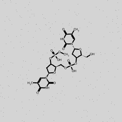 COP(=O)(O)OC1C[C@H](n2cc(C)c(=O)[nH]c2=O)O[C@@H]1COP(=O)(O)OC1C[C@H](n2cc(C)c(=O)[nH]c2=O)O[C@@H]1CO